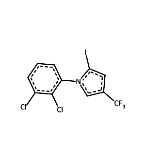 FC(F)(F)c1cc(I)n(-c2cccc(Cl)c2Cl)c1